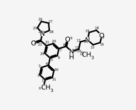 Cc1ccc(-c2cc(C(=O)N[C@@H](C)CN3CCOCC3)cc(C(=O)N3CCCC3)c2)cc1